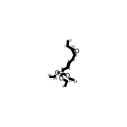 CCO[Si](CC=CCC1OC1CC)(OCC)OCC